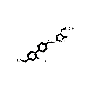 Cc1cc(CN)ccc1-c1ccc(OC[C@@H]2C[C@@H](CC(=O)O)C(=O)N2)cc1